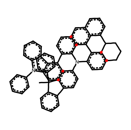 CC1(c2ccccc2)c2ccccc2-c2ccc(N(c3ccccc3-c3cccc4cccc(C5CCCCC5)c34)c3ccccc3-c3cccc4c3c3ccccc3n4-c3ccccc3)cc21